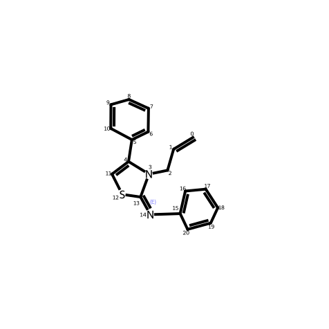 C=CCn1c(-c2ccccc2)cs/c1=N/c1ccccc1